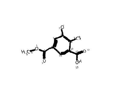 COC(=O)c1cc(Cl)c(Cl)c(C(=O)O)c1